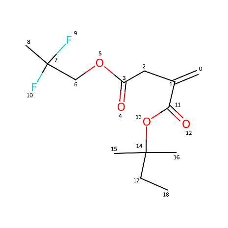 C=C(CC(=O)OCC(C)(F)F)C(=O)OC(C)(C)CC